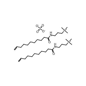 C=CCCCCCCCCC(=O)NCCC[N+](C)(C)C.C=CCCCCCCCCC(=O)NCCC[N+](C)(C)C.O=S(=O)([O-])[O-]